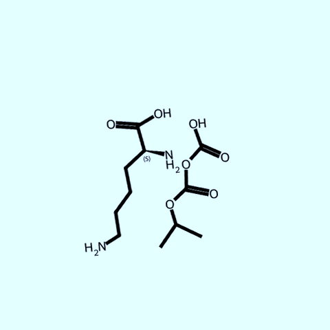 CC(C)OC(=O)OC(=O)O.NCCCC[C@H](N)C(=O)O